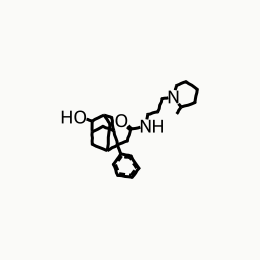 CC1CCCCN1CCCNC(=O)CC1(c2ccccc2)C2CC3CC1CC(C2)C3O